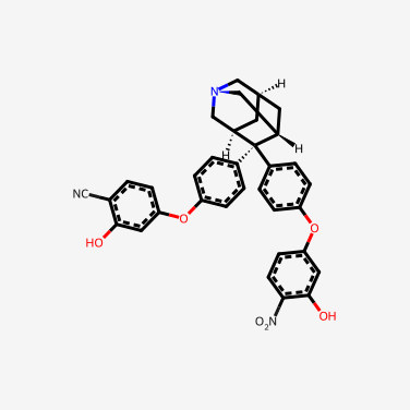 N#Cc1ccc(Oc2ccc([C@]3(c4ccc(Oc5ccc([N+](=O)[O-])c(O)c5)cc4)[C@@H]4C[C@@H]5C[C@H]3C[N@@](C5)C4)cc2)cc1O